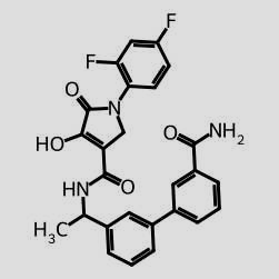 CC(NC(=O)C1=C(O)C(=O)N(c2ccc(F)cc2F)C1)c1cccc(-c2cccc(C(N)=O)c2)c1